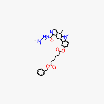 Cc1c2ccnc(C(=O)NCCN(C)C)c2cc2c3cc(OC(=O)CCCCC(=O)OCc4ccccc4)ccc3n(C)c12